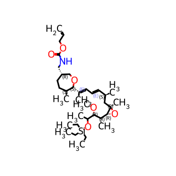 C=CCOC(=O)NC[C@H]1CC[C@H](C)[C@@H](/C(C)=C/C=C/[C@@H](C)C[C@@]2(C)O[C@@H]2[C@H](C)[C@@H](OC)C(C)O[Si](CC)(CC)CC)OC1